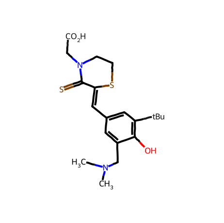 CN(C)Cc1cc(C=C2SCCN(CC(=O)O)C2=S)cc(C(C)(C)C)c1O